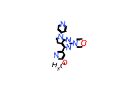 COc1cncc(-c2nc(N3CCOCC3)nc3c2CCN3c2ccncc2)c1